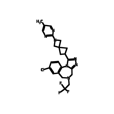 Cc1cnc(N2CC3(CC(c4nnc5n4-c4ccc(Cl)cc4CN(CC(F)(F)F)C5)C3)C2)nc1